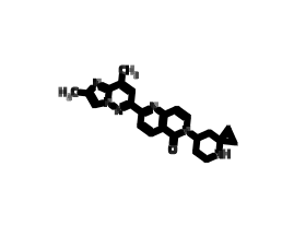 Cc1cn2nc(-c3ccc4c(=O)n(C5CCNC6(CC6)C5)ccc4n3)cc(C)c2n1